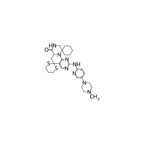 CN1CCN(c2ccc(Nc3ncc4c(n3)N3C(CC45SCCCS5)C(=O)NCC34CCCCC4)nc2)CC1